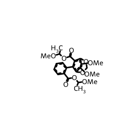 COc1c(OC)c2c(-c3ccccc3C(=O)OC(C)OC)c(C(=O)OC(C)OC)c1OCO2